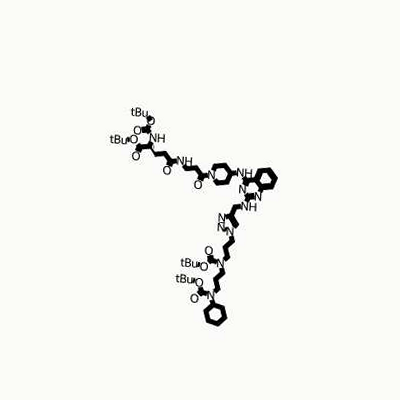 CC(C)(C)OC(=O)N[C@@H](CCC(=O)NCCC(=O)N1CCC(Nc2nc(NCc3cn(CCCN(CCCN(C(=O)OC(C)(C)C)C4CCCCC4)C(=O)OC(C)(C)C)nn3)nc3ccccc23)CC1)C(=O)OC(C)(C)C